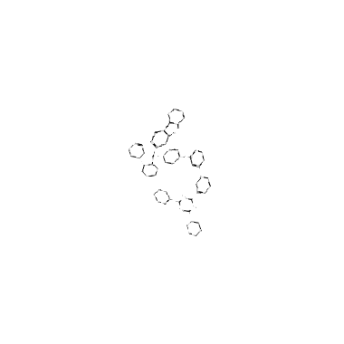 c1ccc(-c2nc(-c3ccccc3)nc(-c3cccc(-c4cccc(-c5ccc(C6(c7ccc8c(c7)oc7ccccc78)c7ccccc7-c7ccccc76)cc5)c4)c3)n2)cc1